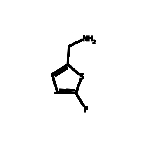 NCc1c[c]c(F)s1